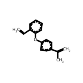 C=Cc1ccccc1Oc1ccc(C(=C)C)cc1